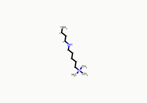 C[N+](C)(C)CCCCCNCCC[SiH3]